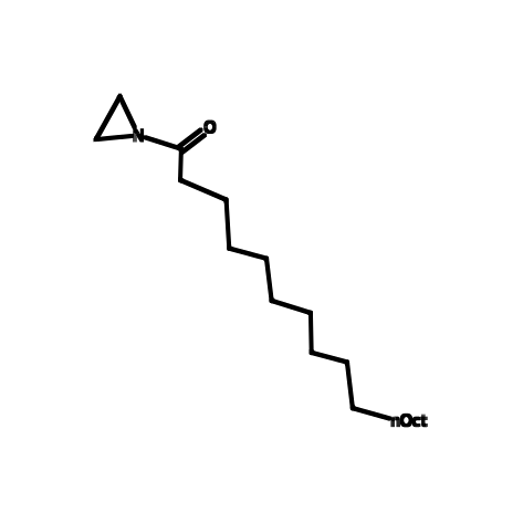 CCCCCCCCCCCCCCCCCC(=O)N1CC1